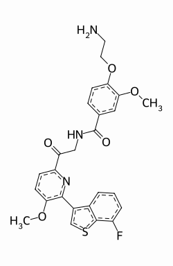 COc1cc(C(=O)NCC(=O)c2ccc(OC)c(-c3csc4c(F)cccc34)n2)ccc1OCCN